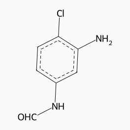 Nc1cc(NC=O)ccc1Cl